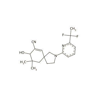 CC(F)(F)c1cccc(N2CCC3(C=C(C#N)C(O)C(C)(C)C3)C2)n1